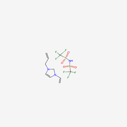 C=CCN1C=CN(C=C)C1.O=S(=O)(NS(=O)(=O)C(F)(F)F)C(F)(F)F